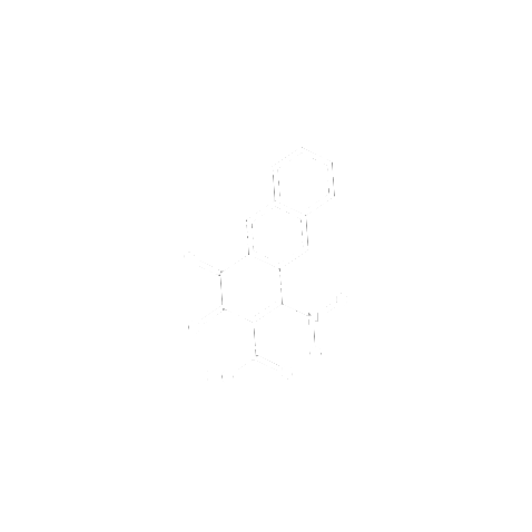 O=C(O)C1=C([N+](=O)[O-])c2cc3ccccc3cc2C(=O)C1=O